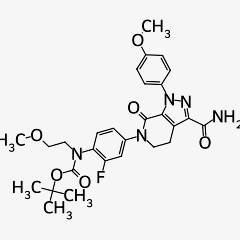 COCCN(C(=O)OC(C)(C)C)c1ccc(N2CCc3c(C(N)=O)nn(-c4ccc(OC)cc4)c3C2=O)cc1F